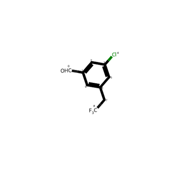 O=Cc1cc(Cl)cc(CC(F)(F)F)c1